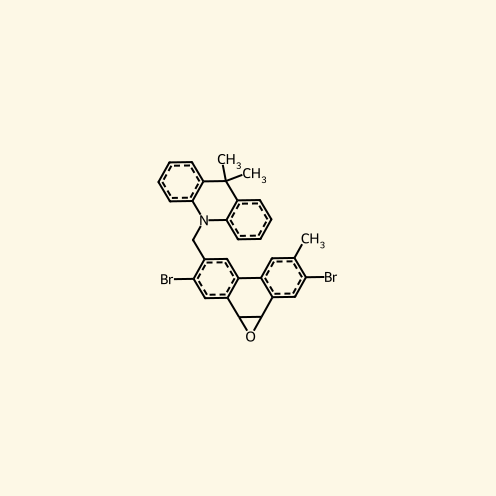 Cc1cc2c(cc1Br)C1OC1c1cc(Br)c(CN3c4ccccc4C(C)(C)c4ccccc43)cc1-2